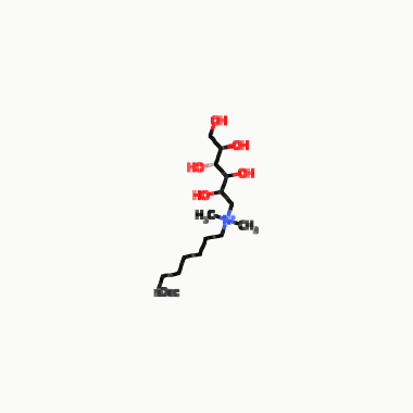 CCCCCCCCCCCCCCCC[N+](C)(C)CC(O)C(O)[C@H](O)[C@H](O)CO